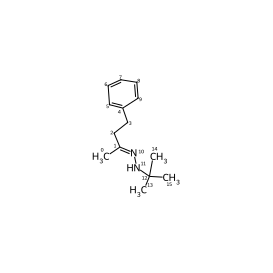 CC(CCc1ccccc1)=NNC(C)(C)C